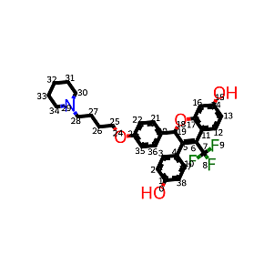 Oc1ccc(C2=C(C(F)(F)F)c3ccc(O)cc3OC2c2ccc(OCCCCN3CCCCC3)cc2)cc1